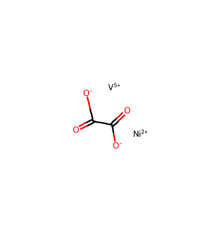 O=C([O-])C(=O)[O-].[Ni+2].[V+5]